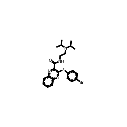 CC(C)N(CCNC(=O)c1nc2ccccc2nc1Sc1ccc(Br)cc1)C(C)C